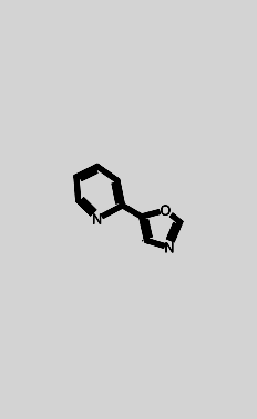 [c]1ncoc1-c1ccccn1